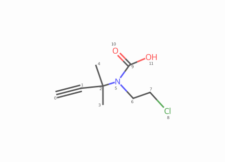 C#CC(C)(C)N(CCCl)C(=O)O